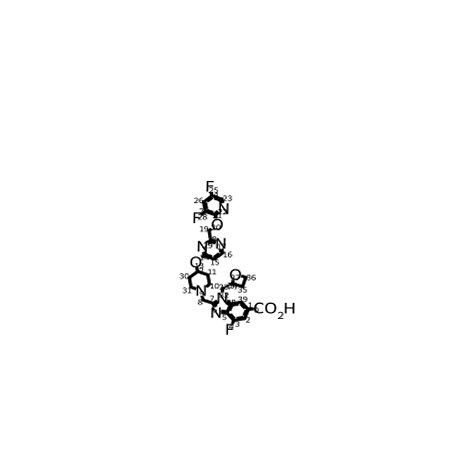 O=C(O)c1cc(F)c2nc(CN3CCC(Oc4ccnc(COc5ncc(F)cc5F)n4)CC3)n(C[C@@H]3CCO3)c2c1